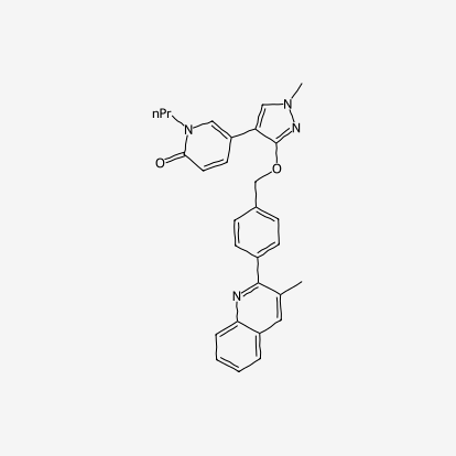 CCCn1cc(-c2cn(C)nc2OCc2ccc(-c3nc4ccccc4cc3C)cc2)ccc1=O